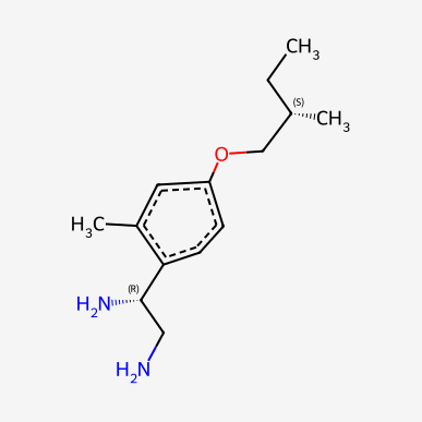 CC[C@H](C)COc1ccc([C@@H](N)CN)c(C)c1